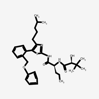 CCC[C@H](NC(=O)[C@@H](O)C(C)(C)C)C(=O)Nc1nc(CCCC(C)C)c(-c2ccccc2COc2ccccc2)s1